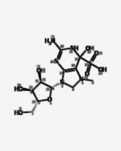 CN1CN([C@@H]2O[C@H](CO)[C@@H](O)[C@H]2O)C2=C1C(O)(S(=O)(=O)O)NC(N)=N2